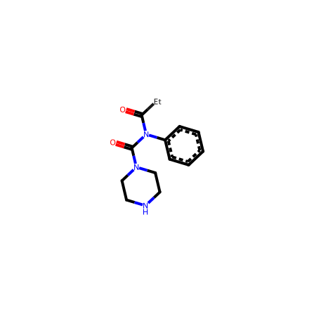 CCC(=O)N(C(=O)N1CCNCC1)c1ccccc1